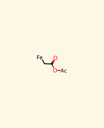 CC(=O)OC(=O)[CH2][Fe]